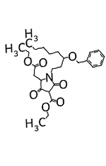 CCCCCC(CCN1C(=O)C(C(=O)OCC)C(=O)C1CC(=O)OCC)OCc1ccccc1